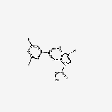 CC(C)(C)OC(=O)n1cc(I)c2ncc(-c3cc(F)cc(F)c3)cc21